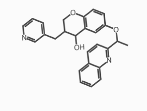 CC(Oc1ccc2c(c1)C(O)C(Cc1cccnc1)CO2)c1ccc2ccccc2n1